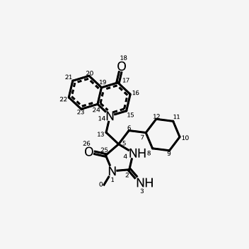 CN1C(=N)NC(CC2CCCCC2)(Cn2ccc(=O)c3ccccc32)C1=O